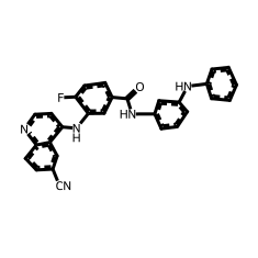 N#Cc1ccc2nccc(Nc3cc(C(=O)Nc4cccc(Nc5ccccc5)c4)ccc3F)c2c1